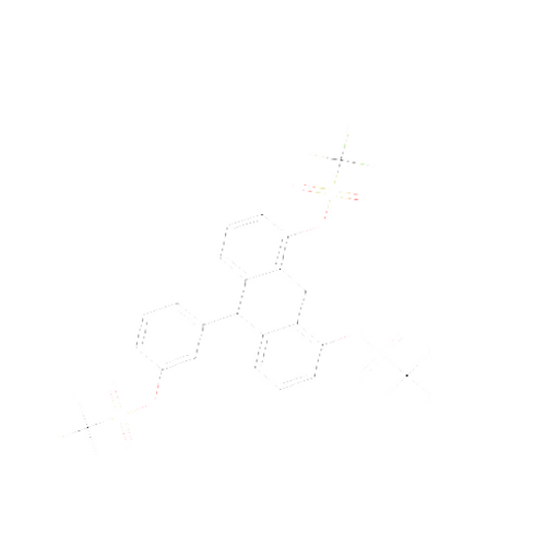 O=S(=O)(Oc1cccc(C2c3cccc(OS(=O)(=O)C(F)(F)F)c3Cc3c(OS(=O)(=O)C(F)(F)F)cccc32)c1)C(F)(F)F